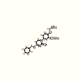 COc1cc(-n2ccc(SCc3ccccc3)nc2=O)ccc1OCC(C)(C)C